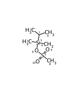 CC(C)[Si](C)(C)OS(C)(=O)=O